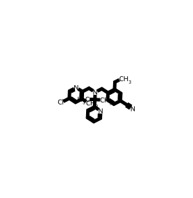 CCc1cc(C#N)ccc1CN(Cc1ncc(Cl)cc1C)C(C)(C)c1ccccn1